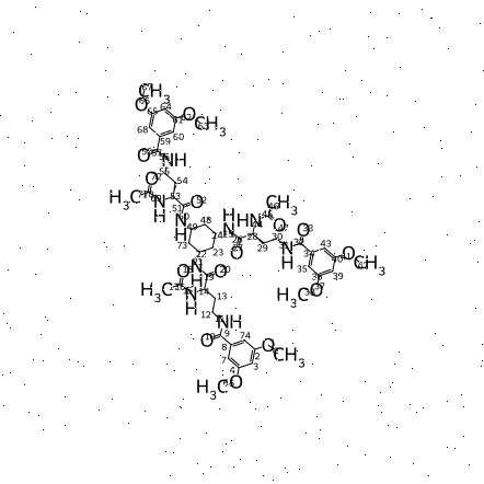 COc1cc(OC)cc(C(=O)NCCC(NC(C)=O)C(=O)N[C@H]2C[C@@H](NC(=O)[C@H](CCNC(=O)c3cc(OC)cc(OC)c3)NC(C)=O)C[C@@H](NC(=O)[C@H](CCNC(=O)c3cc(OC)cc(OC)c3)NC(C)=O)C2)c1